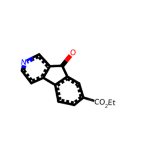 CCOC(=O)c1ccc2c(c1)C(=O)c1cnccc1-2